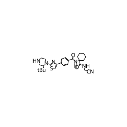 CC(C)(C)C1CNCCN1c1nc(-c2ccc(C(=O)NC3(C(=O)NCC#N)CCCCC3)cc2)cs1